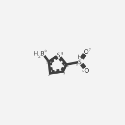 Bc1ccc([SH](=O)=O)s1